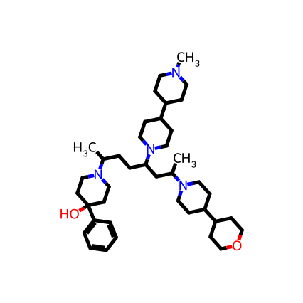 CC(CCC(CC(C)N1CCC(C2CCOCC2)CC1)N1CCC(C2CCN(C)CC2)CC1)N1CCC(O)(c2ccccc2)CC1